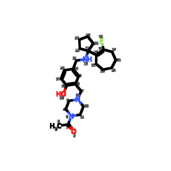 CC(=O)N1CCN(Cc2cc(CNC3(C4=C(F)CCCCC4)CCCC3)ccc2O)CC1